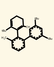 CC1=C(c2c(C)cccc2-c2cc(C(C)(C)C)cc(C(C)(C)C)c2)C(C(C)(C)C)=CCC1